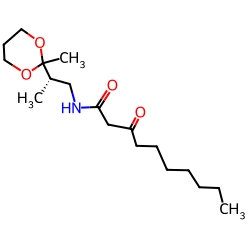 CCCCCCCC(=O)CC(=O)NC[C@H](C)C1(C)OCCCO1